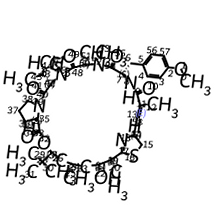 COc1ccc(C[C@@H]2NC(=O)/C(C)=C/[C@H]3CSC(=N3)[C@H](C)[C@@H](O)C[C@H](C)C[C@@H](C(C)(C)C)OC(=O)[C@@H]3CCCN3C(=O)[C@H](C(C)C)N(C)C(=O)[C@H](C)N(C)C2=O)cc1